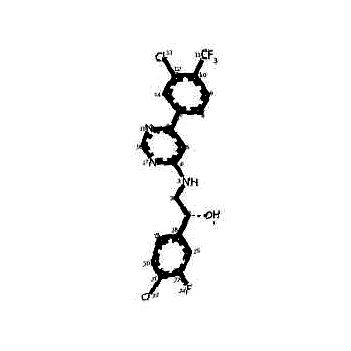 O[C@@H](CNc1cc(-c2ccc(C(F)(F)F)c(Cl)c2)ncn1)c1ccc(Cl)c(F)c1